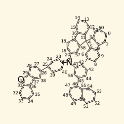 c1ccc(C2(c3ccccc3)c3ccccc3-c3ccc(N(c4ccc(-c5ccc6oc7ccccc7c6c5)cc4)c4cccc(-c5cccc6ccccc56)c4)cc32)cc1